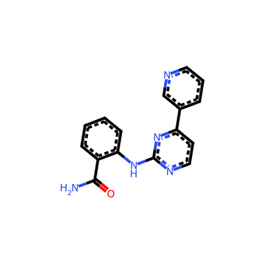 NC(=O)c1ccccc1Nc1nccc(-c2cccnc2)n1